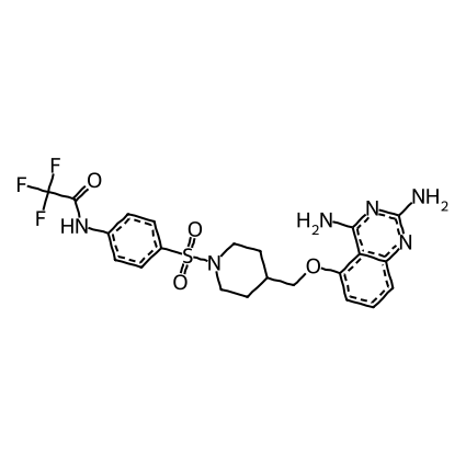 Nc1nc(N)c2c(OCC3CCN(S(=O)(=O)c4ccc(NC(=O)C(F)(F)F)cc4)CC3)cccc2n1